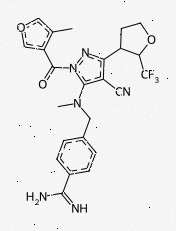 Cc1cocc1C(=O)n1nc(C2CCOC2C(F)(F)F)c(C#N)c1N(C)Cc1ccc(C(=N)N)cc1